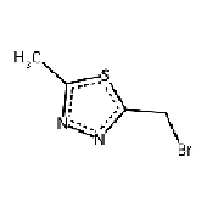 Cc1nnc(CBr)s1